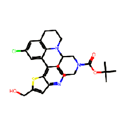 CC(C)(C)OC(=O)N1CCCC(N2CCCc3cc(Cl)cc(-c4ccnc5cc(CO)sc45)c32)C1